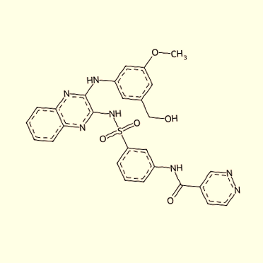 COc1cc(CO)cc(Nc2nc3ccccc3nc2NS(=O)(=O)c2cccc(NC(=O)c3ccnnc3)c2)c1